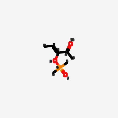 CC=C(OP(C)(C)=O)C(C)=O